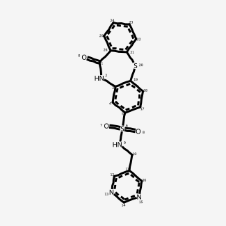 O=C1Nc2cc(S(=O)(=O)NCc3cncnc3)ccc2Sc2ccccc21